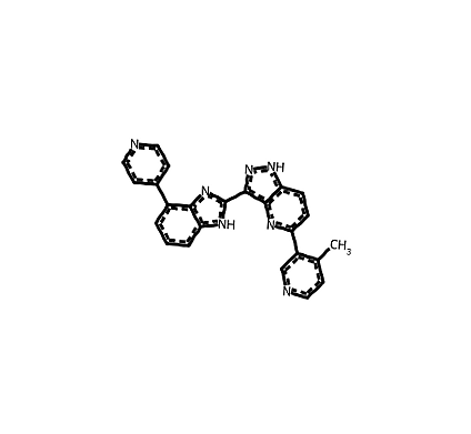 Cc1ccncc1-c1ccc2[nH]nc(-c3nc4c(-c5ccncc5)cccc4[nH]3)c2n1